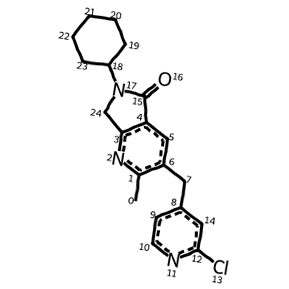 Cc1nc2c(cc1Cc1ccnc(Cl)c1)C(=O)N(C1CCCCC1)C2